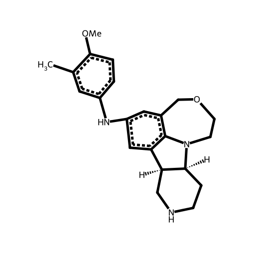 COc1ccc(Nc2cc3c4c(c2)[C@@H]2CNCC[C@@H]2N4CCOC3)cc1C